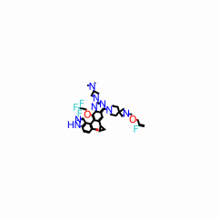 C=C(F)COCN1CC2(CCN(c3nc(N4CC(N(C)C)C4)nc4c(OCC(F)(F)F)c(-c5c(C)ccc6[nH]ncc56)c(C5CC5)cc34)CC2)C1